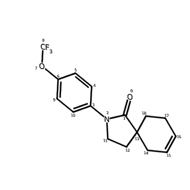 O=C1N(c2ccc(OC(F)(F)F)cc2)CCC12CC=CCC2